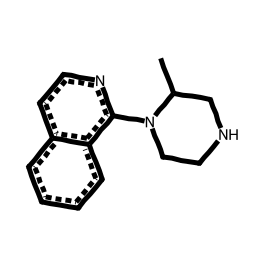 CC1CNCCN1c1nccc2ccccc12